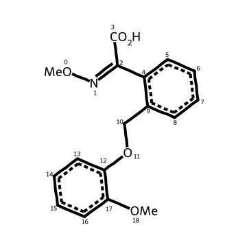 CON=C(C(=O)O)c1ccccc1COc1ccccc1OC